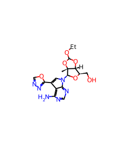 CCOC1O[C@@H]2[C@@H](CO)O[C@@H](n3cc(-c4nnco4)c4c(N)ncnc43)[C@]2(C)O1